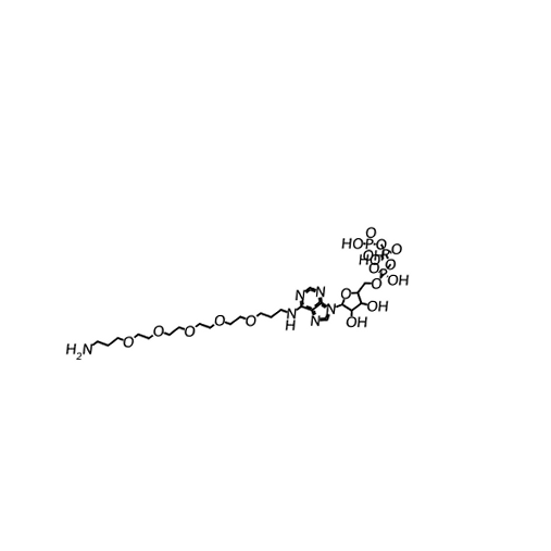 NCCCOCCOCCOCCOCCOCCCNc1ncnc2c1ncn2C1OC(COP(=O)(O)OP(=O)(O)OP(=O)(O)O)C(O)C1O